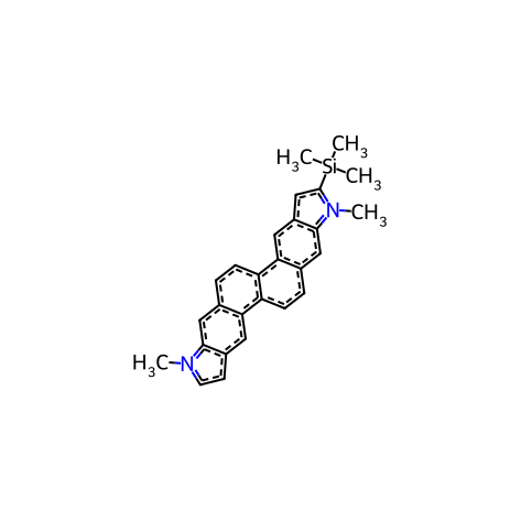 Cn1ccc2cc3c(ccc4c5cc6cc([Si](C)(C)C)n(C)c6cc5ccc34)cc21